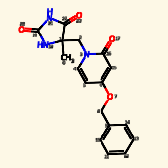 CC1(Cn2ccc(OCc3ccccc3)cc2=O)NC(=O)NC1=O